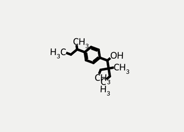 CCC(C)c1ccc(C(O)C(C)(CC)CC)cc1